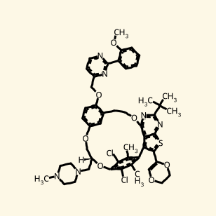 COc1ccccc1-c1nccc(COc2ccc3cc2CCOc2nc(C(C)(C)C)nc4sc(C5=COCCO5)c(c24)-c2c(C)c(Cl)c(c(Cl)c2C)O[C@H](CN2CCN(C)CC2)CO3)n1